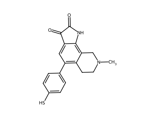 CN1CCc2c(-c3ccc(S)cc3)cc3c(c2C1)NC(=O)C3=O